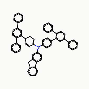 C1=CC(c2cc(-c3ccccc3)ccc2-c2ccccc2)CC=C1N(c1ccc(-c2cc(-c3ccccc3)ccc2-c2ccccc2)cc1)c1ccc2c(c1)Cc1ccccc1-2